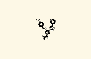 C=C(F)C(=O)N1C[C@@H](n2cc(-c3cccnc3)nn2)[C@H](OCc2ccc(C(F)(F)F)cc2)C1